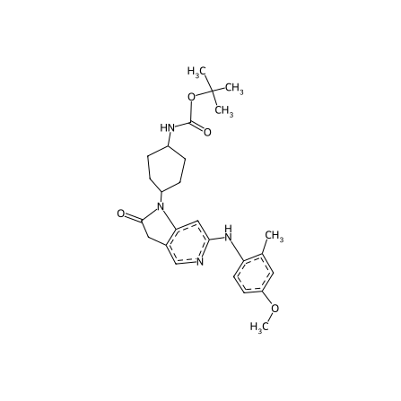 COc1ccc(Nc2cc3c(cn2)CC(=O)N3C2CCC(NC(=O)OC(C)(C)C)CC2)c(C)c1